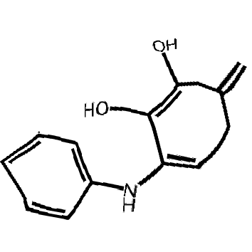 C=C1CC=C(Nc2c[c]ccc2)C(O)=C1O